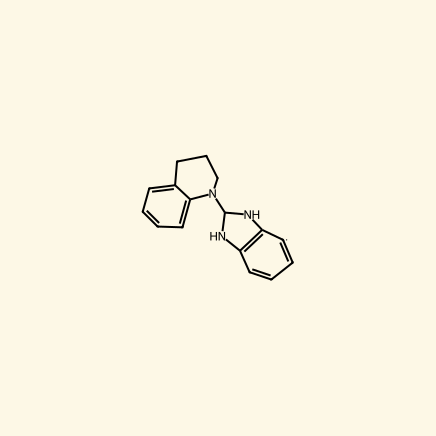 [c]1cccc2c1NC(N1CCCc3ccccc31)N2